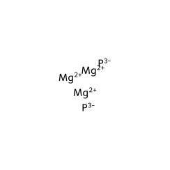 [Mg+2].[Mg+2].[Mg+2].[P-3].[P-3]